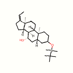 C/C=C1/CC[C@H]2[C@@H]3[C@@H](O)C[C@H]4CC(O[Si](C)(C)C(C)(C)C)CC[C@]4(C)[C@H]3CC[C@]12C